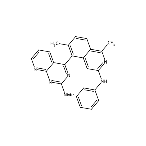 CNc1nc(-c2c(C)ccc3c(C(F)(F)F)nc(Nc4ccccc4)cc23)c2cccnc2n1